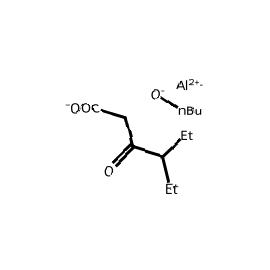 CCC(CC)C(=O)CC(=O)[O-].CCCC[O-].[Al+2]